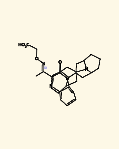 C/C(=N\OCC(=O)O)c1nc2ccccc2n(C2CC3CCCC(C2)N3C2CC3CCCC(C3)C2)c1=O